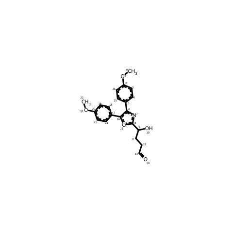 COc1ccc(-c2nc(C(O)CCC=O)oc2-c2ccc(OC)cc2)cc1